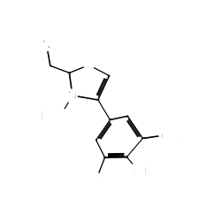 CN1C(c2cc(C(C)(C)C)c(O)c(C(C)(C)C)c2)=CSC1CN